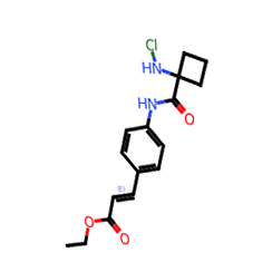 CCOC(=O)/C=C/c1ccc(NC(=O)C2(NCl)CCC2)cc1